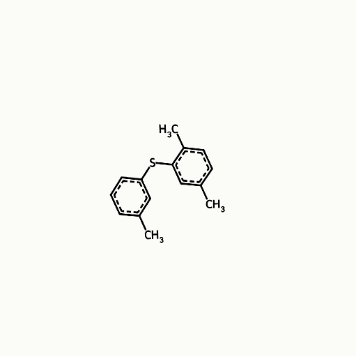 Cc1cccc(Sc2cc(C)ccc2C)c1